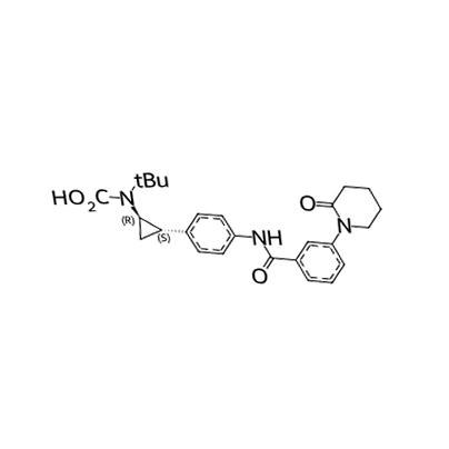 CC(C)(C)N(C(=O)O)[C@@H]1C[C@H]1c1ccc(NC(=O)c2cccc(N3CCCCC3=O)c2)cc1